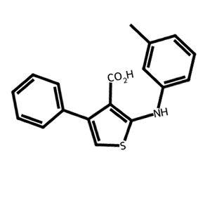 Cc1cccc(Nc2scc(-c3ccccc3)c2C(=O)O)c1